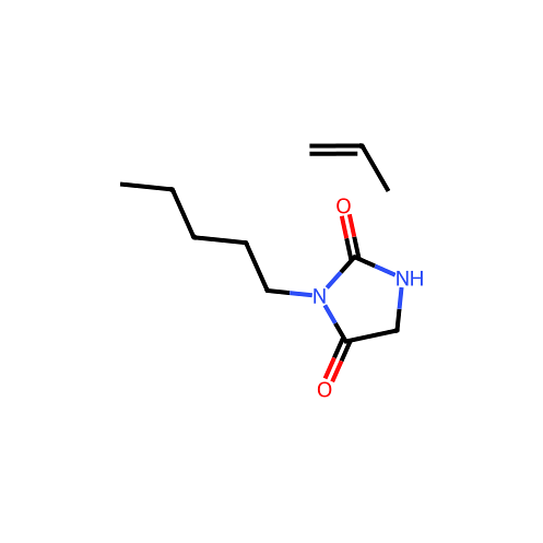 C=CC.CCCCCN1C(=O)CNC1=O